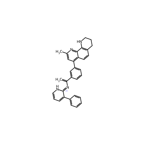 C=C(/N=c1\[nH]cccc1-c1ccccc1)c1cccc(-c2cc(C)nc3c4c(ccc23)CCCN4)c1